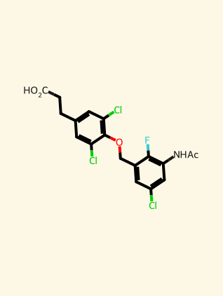 CC(=O)Nc1cc(Cl)cc(COc2c(Cl)cc(CCC(=O)O)cc2Cl)c1F